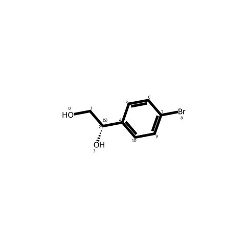 OC[C@@H](O)c1ccc(Br)cc1